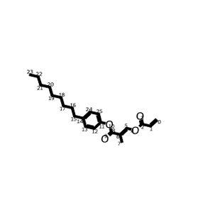 C=CC(=O)OC=C(C)C(=O)Oc1ccc(CCCCCCCCC)cc1